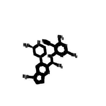 Cc1nc(N)nc(N[C@@H](C)c2nc3ccn(C)c3cc2N2CCN[C@@H](C)C2)c1C#N